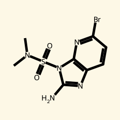 CN(C)S(=O)(=O)n1c(N)nc2ccc(Br)nc21